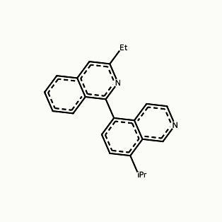 CCc1cc2ccccc2c(-c2ccc(C(C)C)c3cnccc23)n1